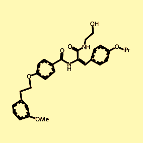 COc1cccc(CCOc2ccc(C(=O)NC(=Cc3ccc(OC(C)C)cc3)C(=O)NCCO)cc2)c1